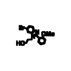 COc1ccccc1-c1nc2ccc(Br)cc2n1CCCO